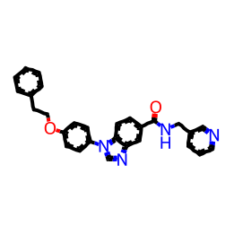 O=C(NCc1cccnc1)c1ccc2c(c1)ncn2-c1ccc(OCCc2ccccc2)cc1